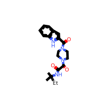 CCC(C)(C)NC(=O)C(=O)N1CCN(C(=O)c2cc3ccccc3[nH]2)CC1